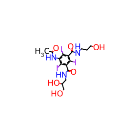 CC(=O)Nc1c(I)c(C(=O)NCCCO)c(I)c(C(=O)NCC(O)CO)c1I